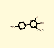 CCOC(=O)c1cc(-c2ccc(OC)cc2)nc(Br)c1O